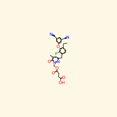 CCc1ccc(Cc2cc(C)c(=O)n(COC(=O)CCC(=O)O)n2)c(F)c1Oc1cc(C#N)cc(C#N)c1